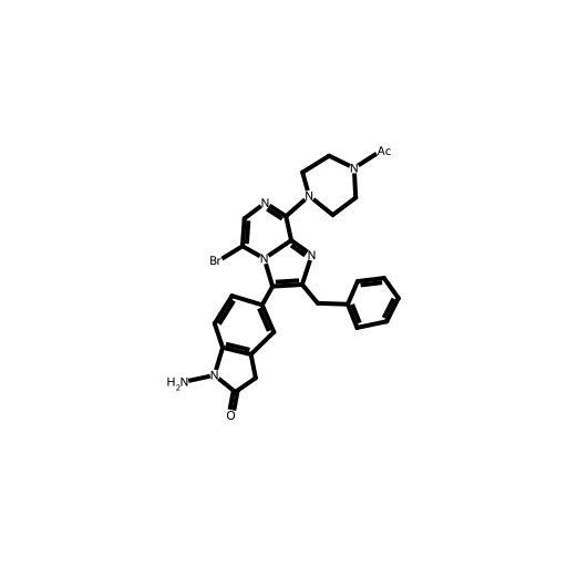 CC(=O)N1CCN(c2ncc(Br)n3c(-c4ccc5c(c4)CC(=O)N5N)c(Cc4ccccc4)nc23)CC1